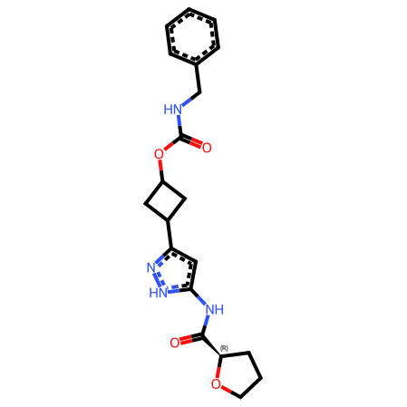 O=C(NCc1ccccc1)OC1CC(c2cc(NC(=O)[C@H]3CCCO3)[nH]n2)C1